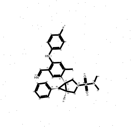 Cc1cc(Nc2ccc(F)cc2)c(C=N)cc1[C@]12CN(S(=O)(=O)N(C)C)C[C@H]1[C@@H]2c1ccccc1